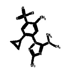 Cc1cc(-n2nc(C(F)(F)F)nc2N(C)C)c(C2CC2)cc1S(=O)(=O)Cl